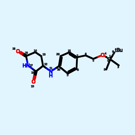 CC(C)(C)[Si](C)(C)OCCc1ccc(NC2CCC(=O)NC2=O)cc1